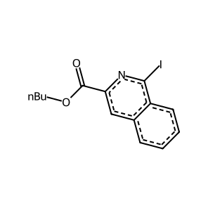 CCCCOC(=O)c1cc2ccccc2c(I)n1